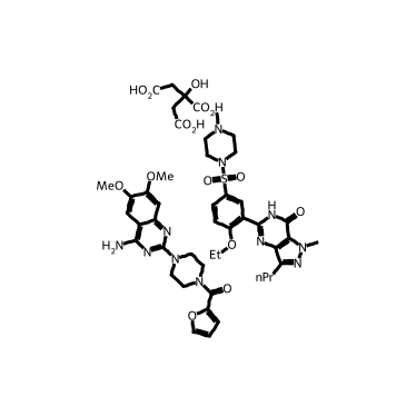 CCCc1nn(C)c2c(=O)[nH]c(-c3cc(S(=O)(=O)N4CCN(C)CC4)ccc3OCC)nc12.COc1cc2nc(N3CCN(C(=O)c4ccco4)CC3)nc(N)c2cc1OC.O=C(O)CC(O)(CC(=O)O)C(=O)O